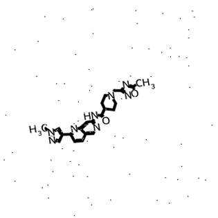 Cc1nc(CN2CCC(C(=O)Nc3cc4nc(-c5cnn(C)c5)ccc4cn3)CC2)no1